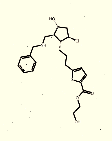 O=C(OCCO)c1ccc(CCC[C@@H]2[C@@H](CNCc3ccccc3)[C@H](O)C[C@H]2Cl)s1